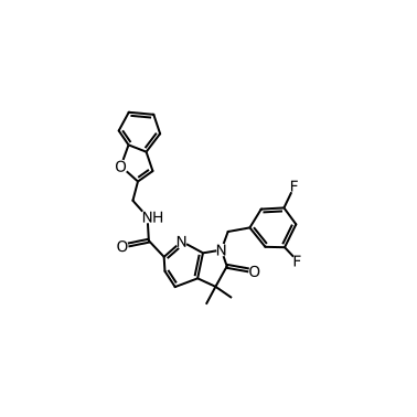 CC1(C)C(=O)N(Cc2cc(F)cc(F)c2)c2nc(C(=O)NCc3cc4ccccc4o3)ccc21